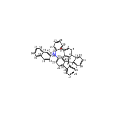 Cc1ccc2c(c1)C1(c3ccccc3-2)c2ccccc2-c2ccc(N(c3ccccc3)c3ccc4ccccc4c3)cc21